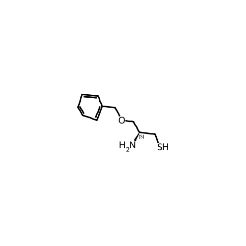 N[C@H](CS)COCc1ccccc1